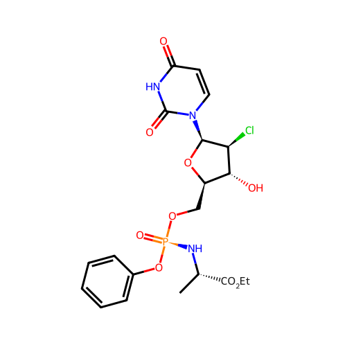 CCOC(=O)[C@H](C)N[P@@](=O)(OC[C@H]1O[C@@H](n2ccc(=O)[nH]c2=O)[C@@H](Cl)[C@@H]1O)Oc1ccccc1